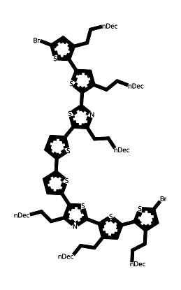 CCCCCCCCCCCCc1cc(Br)sc1-c1cc(CCCCCCCCCCCC)c(-c2nc(CCCCCCCCCCCC)c(-c3ccc(-c4ccc(-c5sc(-c6sc(-c7sc(Br)cc7CCCCCCCCCCCC)cc6CCCCCCCCCCCC)nc5CCCCCCCCCCCC)s4)s3)s2)s1